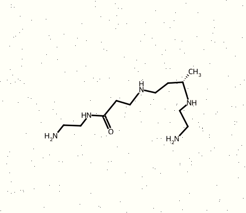 C[C@@H](CCNCCC(=O)NCCN)NCCN